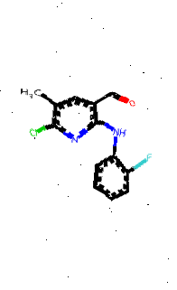 Cc1cc(C=O)c(Nc2ccccc2F)nc1Cl